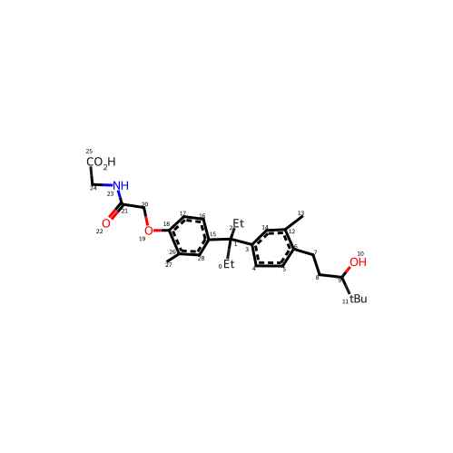 CCC(CC)(c1ccc(CCC(O)C(C)(C)C)c(C)c1)c1ccc(OCC(=O)NCC(=O)O)c(C)c1